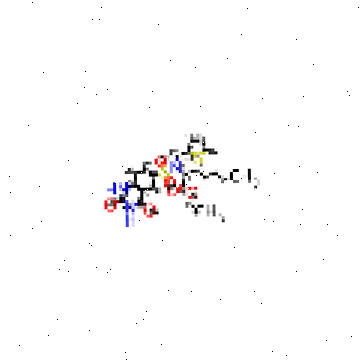 CCCCCC(C(=O)OCC)N(Cc1cccs1)S(=O)(=O)c1ccc2[nH]c(=O)[nH]c(=O)c2c1